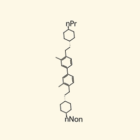 CCCCCCCCC[C@H]1CC[C@H](CCc2ccc(-c3ccc(CC[C@H]4CC[C@H](CCC)CC4)c(C)c3)cc2C)CC1